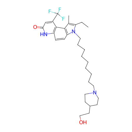 CCc1c(C)c2c3c(C(F)(F)F)cc(=O)[nH]c3ccc2n1CCCCCCCCCN1CCC(CCO)CC1